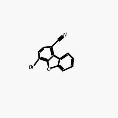 N#Cc1ccc(Br)c2oc3ccccc3c12